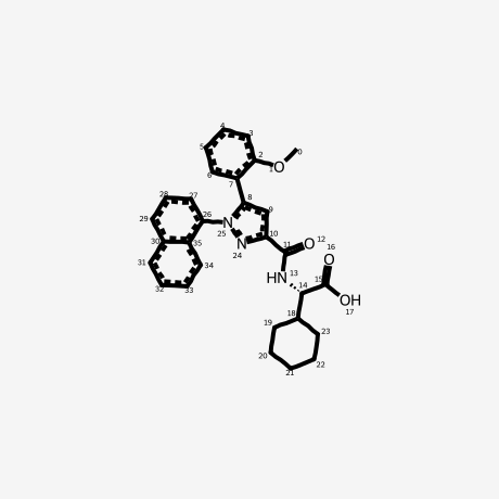 COc1ccccc1-c1cc(C(=O)N[C@H](C(=O)O)C2CCCCC2)nn1-c1cccc2ccccc12